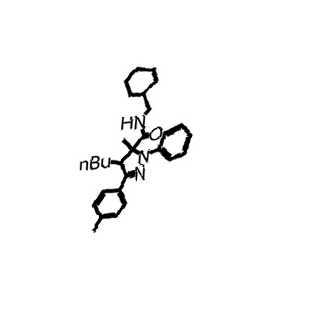 CCCCC1C(c2ccc(C)cc2)=NN(c2ccccc2)C1(C)C(=O)NCC1CCCCC1